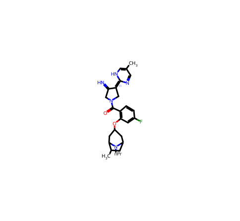 CCCN1C2CC(Oc3cc(F)ccc3C(=O)N3CC(=N)/C(=C4/N=CC(C)=CN4)C3)CC1C(C)C2